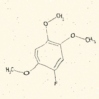 COc1cc(OC)c(OC)cc1F